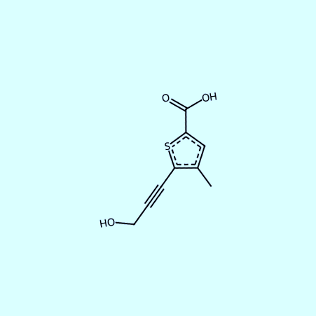 Cc1cc(C(=O)O)sc1C#CCO